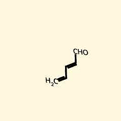 C=C/C=C/C=O